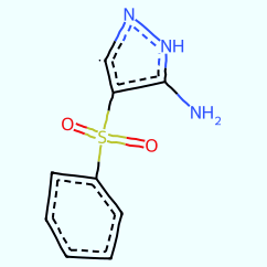 Nc1[nH]n[c]c1S(=O)(=O)c1ccccc1